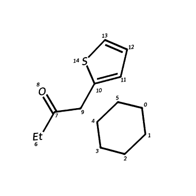 C1CCCCC1.CCC(=O)Cc1cccs1